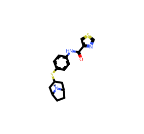 CN1C2CCC1CC(Sc1ccc(NC(=O)c3cscn3)cc1)C2